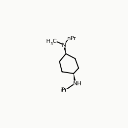 CCCN(C)[C@H]1CC[C@@H](NC(C)C)CC1